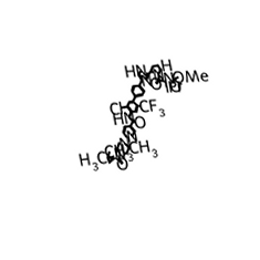 COC(=O)N[C@H](C(=O)N1CCCC1c1nc(-c2ccc(-c3cc(Cl)c(NC(=O)c4ccc(N5CCN(C(=O)[C@H]6CC6(C)C)CC5C)nc4)cc3C(F)(F)F)cc2)c[nH]1)C(C)C